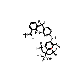 CNC(=O)c1ccccc1Nc1nc(Nc2ccc(C(CC(F)(F)F)(CC(F)(F)F)P(=O)(O)O)cc2OC)ncc1C(F)(F)F